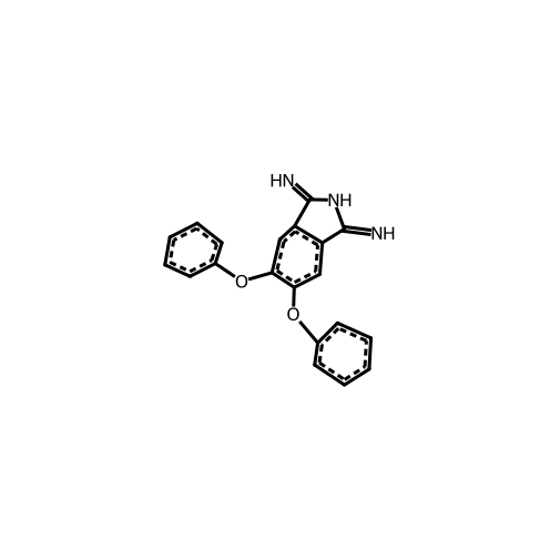 N=C1NC(=N)c2cc(Oc3ccccc3)c(Oc3ccccc3)cc21